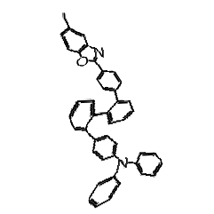 Cc1ccc2oc(-c3ccc(-c4ccccc4-c4ccccc4-c4ccc(N(c5ccccc5)c5ccccc5)cc4)cc3)nc2c1